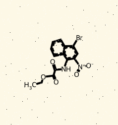 CCOC(=O)C(=O)Nc1c([N+](=O)[O-])cc(Br)c2ccccc12